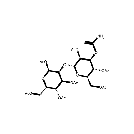 CC(=O)OC[C@@H]1O[C@@H](OC(C)=O)[C@@H](O[C@H]2O[C@H](COC(C)=O)[C@@H](OC(C)=O)[C@H](OC(N)=O)[C@@H]2OC(C)=O)[C@@H](OC(C)=O)[C@@H]1OC(C)=O